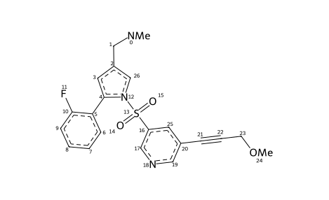 CNCc1cc(-c2ccccc2F)n(S(=O)(=O)c2cncc(C#CCOC)c2)c1